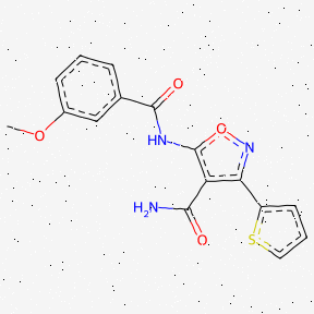 COc1cccc(C(=O)Nc2onc(-c3cccs3)c2C(N)=O)c1